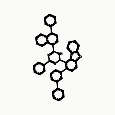 c1ccc(C2=NC(c3c(-c4cccc(-c5ccccc5)c4)ccc4oc5ccccc5c34)NC(c3ccc(-c4ccccc4)c4ccccc34)=N2)cc1